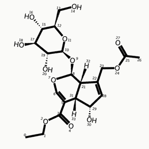 CCOC(=O)C1=CO[C@@H](O[C@@H]2O[C@H](CO)[C@@H](O)[C@H](O)[C@H]2O)[C@@H]2C(COC(C)=O)=C[C@H](O)[C@H]12